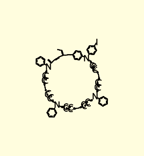 C=C1/C=C\C(=C/C)c2ccc(cc2)N(c2ccc(I)cc2)c2ccc(cc2)-c2ccc(cc2)N(c2ccccc2)c2ccc(cc2)-c2ccc(cc2)N(c2ccccc2)c2ccc(cc2)-c2ccc(cc2)N1c1ccccc1